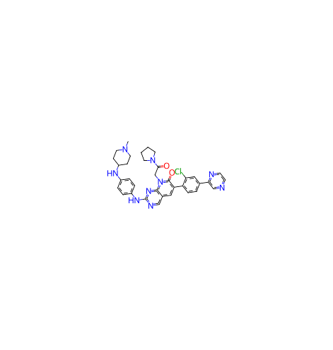 CN1CCC(Nc2ccc(Nc3ncc4cc(-c5ccc(-c6cnccn6)cc5Cl)c(=O)n(CC(=O)N5CCCC5)c4n3)cc2)CC1